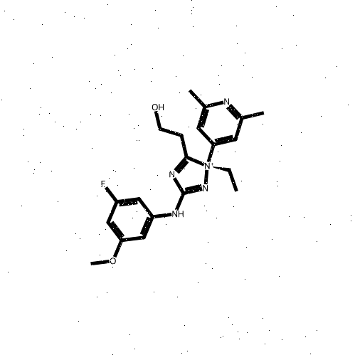 CC[N@@+]1(c2cc(C)nc(C)c2)N=C(Nc2cc(F)cc(OC)c2)N=C1CCO